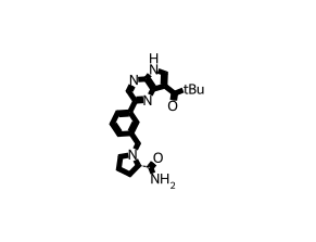 CC(C)(C)C(=O)c1c[nH]c2ncc(-c3cccc(CN4CCC[C@H]4C(N)=O)c3)nc12